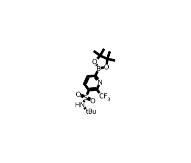 CC(C)(C)NS(=O)(=O)c1ccc(B2OC(C)(C)C(C)(C)O2)nc1C(F)(F)F